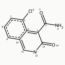 NC(=O)C1=c2c(Cl)[c]ccc2=C[N]C1=O